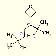 CC(C)(C)/C=C/[C@@H](C1COC1)C(C)(C)C